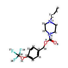 [CH2]CCN1CCN(C(=O)OCc2ccc(OC(F)(F)F)cc2)CC1